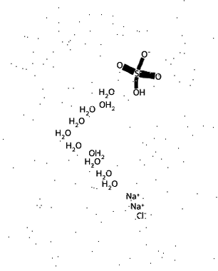 O.O.O.O.O.O.O.O.O.O.O=S(=O)([O-])O.[Cl-].[Na+].[Na+]